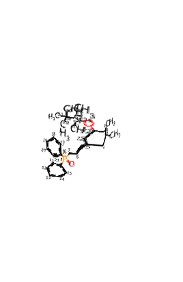 C=C1[C@@H](C)C/C(=C/CP(=O)(c2ccccc2)c2ccccc2)C[C@H]1O[Si](C)(C)C(C)(C)C